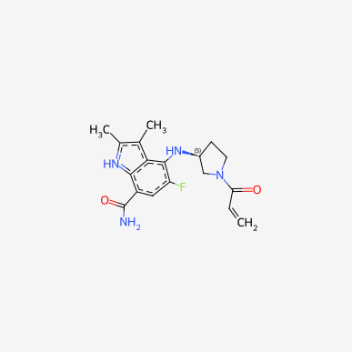 C=CC(=O)N1CC[C@H](Nc2c(F)cc(C(N)=O)c3[nH]c(C)c(C)c23)C1